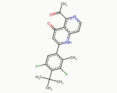 CC(=O)c1nccc2[nH]c(-c3cc(F)c(C(C)(C)C)c(F)c3C)cc(=O)c12